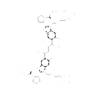 CC(C)(C)OC(=O)N1CCC[C@H]1c1nc2cc(C(O)CCC(O)c3cc4nc([C@@H]5CCCN5C(=O)OC(C)(C)C)n(COCCS(C)(C)C)c4cc3F)c(F)cc2n1COCCS(C)(C)C